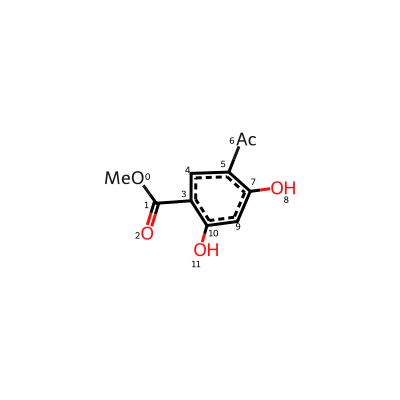 COC(=O)c1cc(C(C)=O)c(O)cc1O